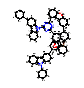 c1ccc(-c2ccc3c(c2)c2ccccc2n3-c2nc(-c3ccc4c(c3)oc3ccccc34)nc(-c3cccc4oc5ccc(-c6ccc7sc8cc(-c9ccc%10c(c9)c9ccccc9n%10-c9ccccc9)ccc8c7c6)cc5c34)n2)cc1